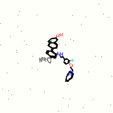 COc1ccc(C2CC=C3CC(O)=CC=C3C2)c(NCCc2ccc(OCCN3C4CCC3CC4)c(F)c2)c1